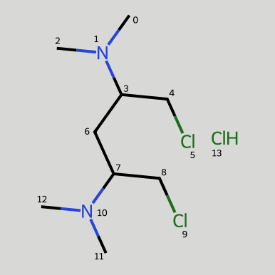 CN(C)C(CCl)CC(CCl)N(C)C.Cl